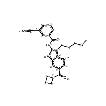 COCCCn1c(NC(=O)c2cccc(C#N)c2)nc2cc(C(=O)N3CCC3)cnc21